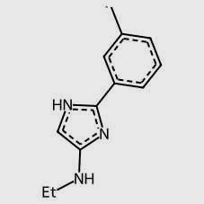 [CH2]c1cccc(-c2nc(NCC)c[nH]2)c1